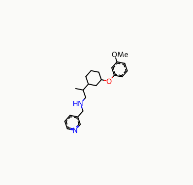 COc1cccc(OC2CCCC(C(C)CNCc3cccnc3)C2)c1